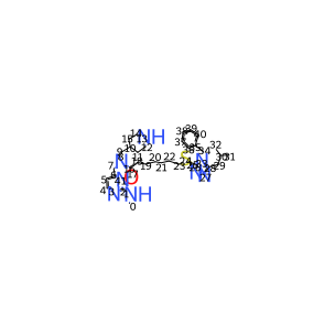 CNc1nccc(CN(CC2CCNCC2)C(=O)CCCCCCSc2nnc(CC(C)C)n2Cc2ccccc2)n1